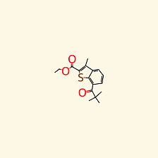 CCOC(=O)c1sc2c(C(=O)C(C)(C)C)cccc2c1C